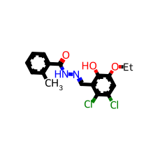 CCOc1cc(Cl)c(Cl)c(C=NNC(=O)c2ccccc2C)c1O